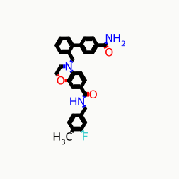 Cc1ccc(CNC(=O)c2ccc3c(c2)OCCN3Cc2ccccc2-c2ccc(C(N)=O)cc2)cc1F